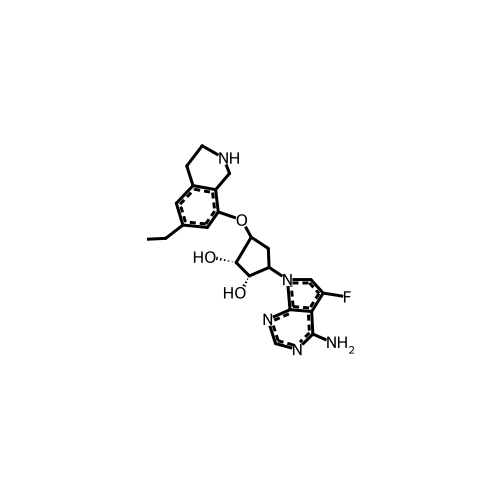 CCc1cc2c(c(OC3CC(n4cc(F)c5c(N)ncnc54)[C@H](O)[C@@H]3O)c1)CNCC2